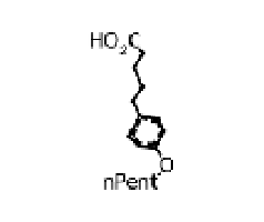 CCCCCOc1ccc(CCCCC(=O)O)cc1